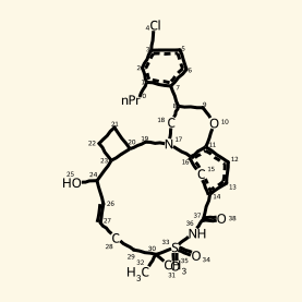 CCCc1cc(Cl)ccc1C1COc2ccc3cc2N(C1)CC1CCC1C(O)/C=C/CCC(C)(C)S(=O)(=O)NC3=O